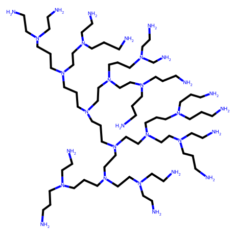 NCCCN(CCN)CCCN(CCN(CCN)CCN)CCN(CCCN(CCCN(CCCN(CCN)CCN)CCN(CCN)CCCN)CCN(CCCN(CN)CCN)CCN(CCCN)CCCN)CCN(CCCN(CCCN)CCCN)CCN(CCN)CCCN